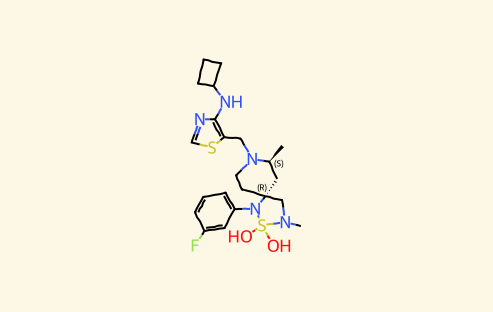 C[C@H]1C[C@]2(CCN1Cc1scnc1NC1CCC1)CN(C)S(O)(O)N2c1cccc(F)c1